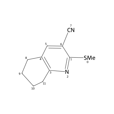 [CH2]Sc1nc2c(cc1C#N)CCCC2